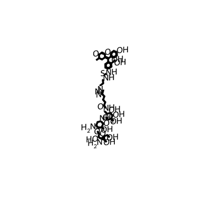 CC1CC2=C(c3ccc(NC(=S)NCCCn4cc(CCCC(=O)NCC5OC(OC6C(N)CC(N)[C@@H](OC7OC8(CO)C(O)C8(N)C7O)C6O)C(O)C(O)C5O)nn4)cc3C(O)O)c3ccc(O)cc3OC2=CC1=O